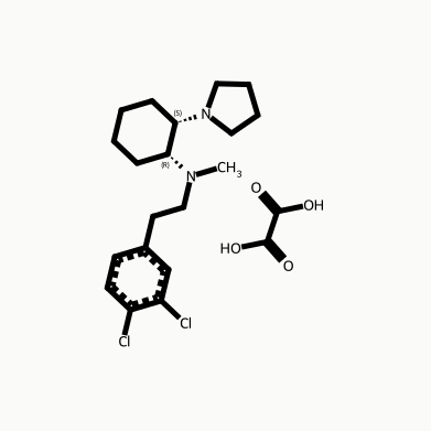 CN(CCc1ccc(Cl)c(Cl)c1)[C@@H]1CCCC[C@@H]1N1CCCC1.O=C(O)C(=O)O